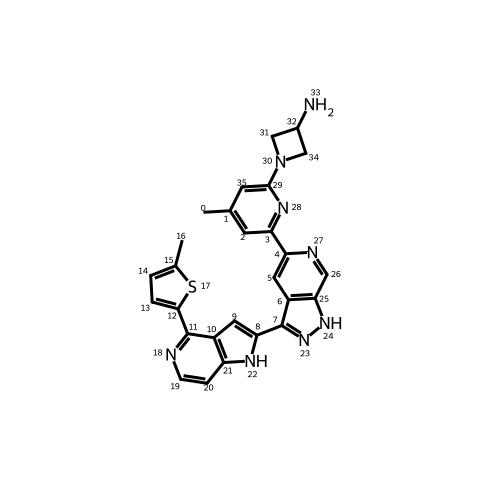 Cc1cc(-c2cc3c(-c4cc5c(-c6ccc(C)s6)nccc5[nH]4)n[nH]c3cn2)nc(N2CC(N)C2)c1